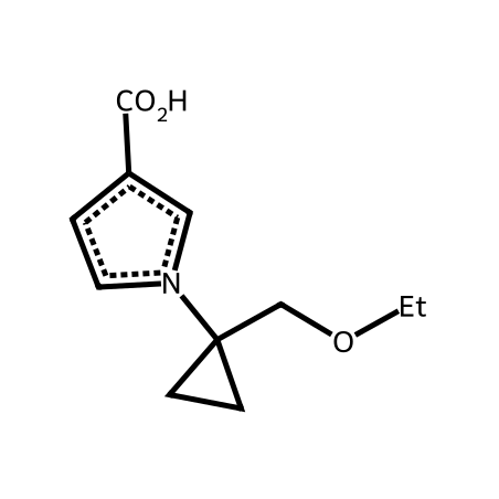 CCOCC1(n2ccc(C(=O)O)c2)CC1